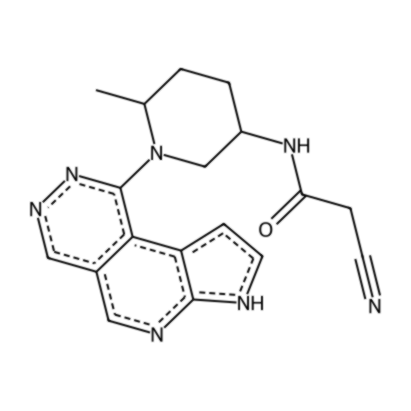 CC1CCC(NC(=O)CC#N)CN1c1nncc2cnc3[nH]ccc3c12